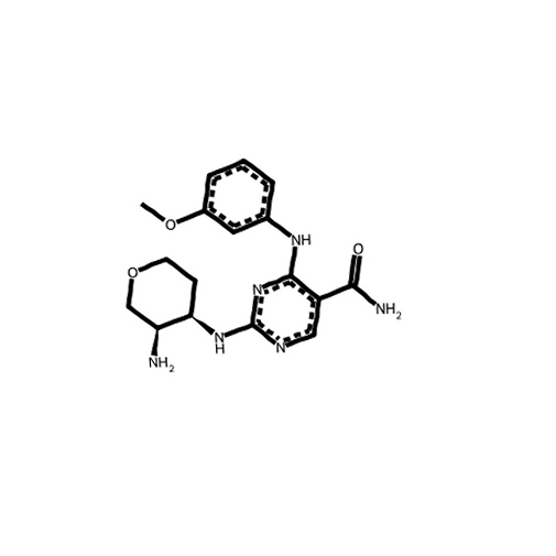 COc1cccc(Nc2nc(N[C@@H]3CCOC[C@@H]3N)ncc2C(N)=O)c1